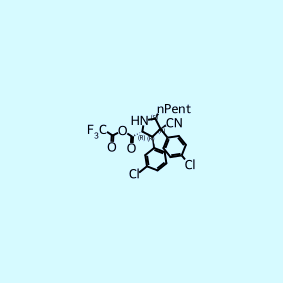 CCCCC[C@@H]1N[C@@H](C(=O)OC(=O)C(F)(F)F)[C@H](c2cccc(Cl)c2)[C@@]1(C#N)c1ccc(Cl)cc1